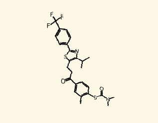 Cc1cc(C(=O)CCc2sc(-c3ccc(C(F)(F)F)cc3)nc2C(C)C)ccc1SC(=O)N(C)C